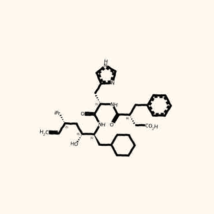 C=C[C@@H](C[C@@H](O)[C@H](CC1CCCCC1)NC(=O)[C@H](Cc1c[nH]cn1)NC(=O)[C@@H](CC(=O)O)Cc1ccccc1)C(C)C